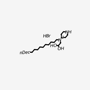 Br.CCCCCCCCCCCCCCCCCCCCN(CC(O)O)N1CCNCC1